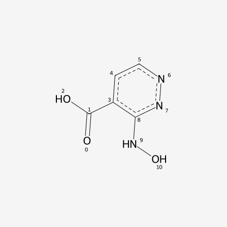 O=C(O)c1ccnnc1NO